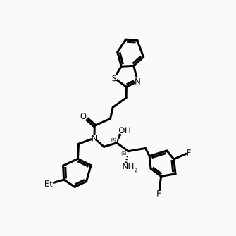 CCc1cccc(CN(C[C@@H](O)[C@@H](N)Cc2cc(F)cc(F)c2)C(=O)CCCc2nc3ccccc3s2)c1